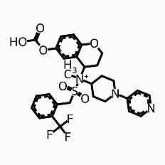 C[N+](C1CCN(c2ccncc2)CC1)(C1CCOc2ccc(OC(=O)O)cc21)S(=O)(=O)Cc1ccccc1C(F)(F)F